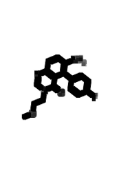 COCCn1cnc2ccc(N)c(-c3ccc(F)cc3)c2c1=O